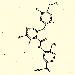 COC(=O)c1cc(NC(=O)c2c(Oc3ccc(OC(F)(F)F)c(F)c3)ccc(C(F)(F)F)c2F)c(C)cn1